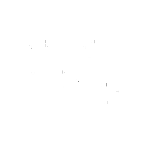 CN(C)CCCC(=O)Nc1cc(Oc2ccc3sc(Nc4cccc(C(C)(C)C)c4)nc3c2)ccn1